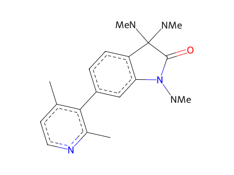 CNN1C(=O)C(NC)(NC)c2ccc(-c3c(C)ccnc3C)cc21